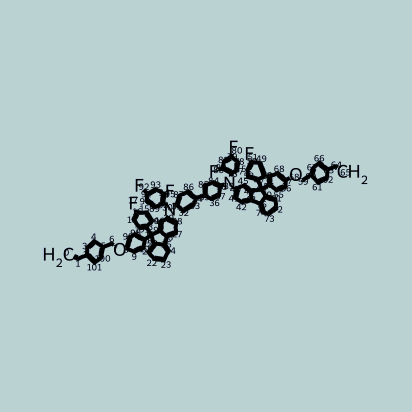 C=Cc1ccc(COc2ccc(C3(c4ccc(F)cc4)c4ccccc4-c4ccc(N(c5ccc(-c6ccc(N(c7ccc8c(c7)C(c7ccc(F)cc7)(c7ccc(OCc9ccc(C=C)cc9)cc7)c7ccccc7-8)c7ccc(F)cc7F)cc6)cc5)c5ccc(F)cc5F)cc43)cc2)cc1